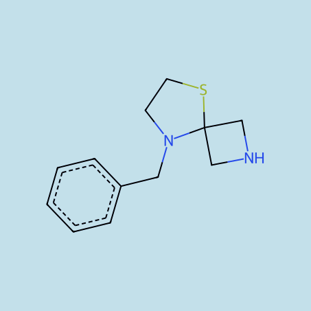 c1ccc(CN2CCSC23CNC3)cc1